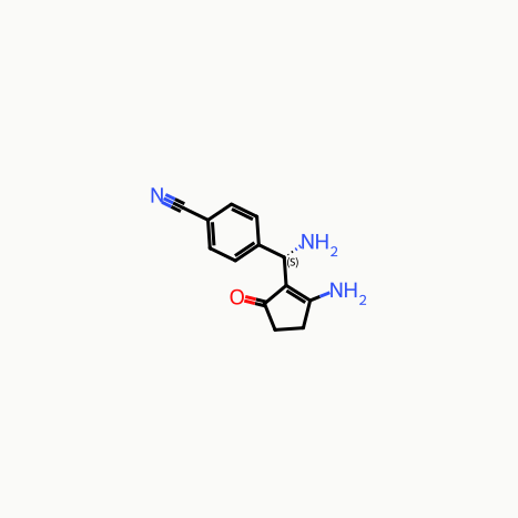 N#Cc1ccc([C@H](N)C2=C(N)CCC2=O)cc1